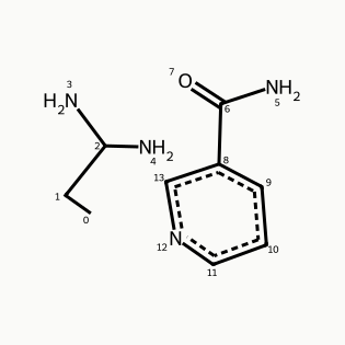 CCC(N)N.NC(=O)c1cccnc1